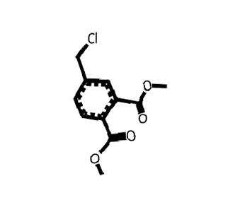 COC(=O)c1ccc(CCl)cc1C(=O)OC